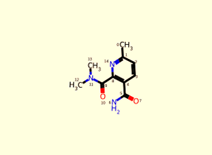 Cc1ccc(C(N)=O)c(C(=O)N(C)C)n1